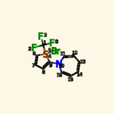 FC(F)(F)S1(Br)C=CC=C1N1C=CC=CC=C1